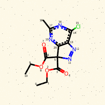 CCOC(=O)C1(C(=O)OCC)N=Nc2c(Cl)nc(C)nc21